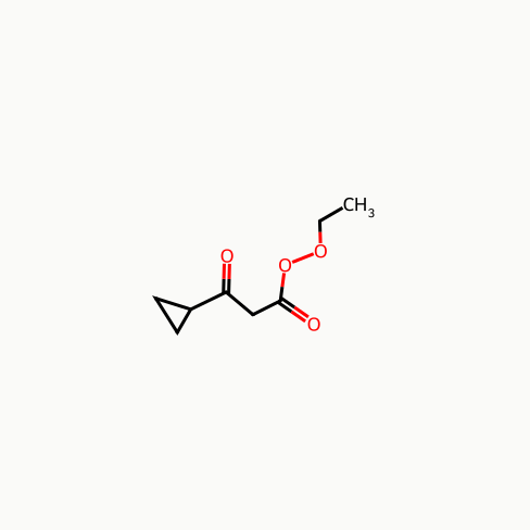 CCOOC(=O)CC(=O)C1CC1